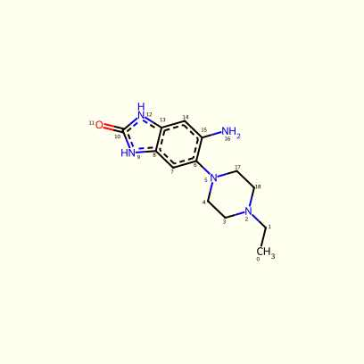 CCN1CCN(c2cc3[nH]c(=O)[nH]c3cc2N)CC1